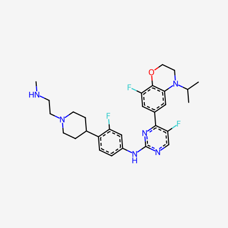 CNCCN1CCC(c2ccc(Nc3ncc(F)c(-c4cc(F)c5c(c4)N(C(C)C)CCO5)n3)cc2F)CC1